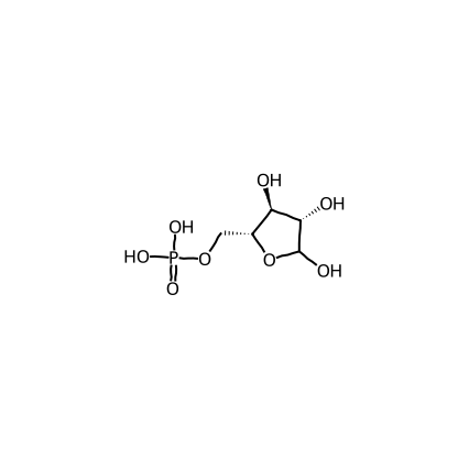 O=P(O)(O)OC[C@H]1OC(O)[C@@H](O)[C@@H]1O